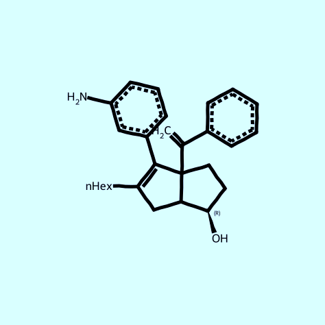 C=C(c1ccccc1)C12CC[C@@H](O)C1CC(CCCCCC)=C2c1cccc(N)c1